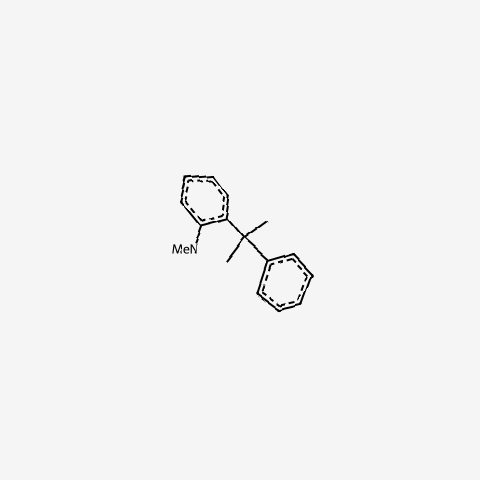 CNc1ccccc1C(C)(C)c1ccccc1